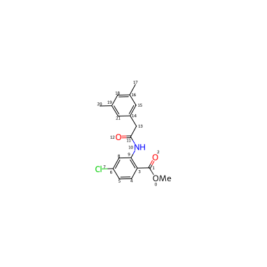 COC(=O)c1ccc(Cl)cc1NC(=O)Cc1cc(C)cc(C)c1